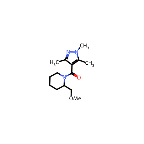 COCC1CCCCN1C(=O)c1c(C)nn(C)c1C